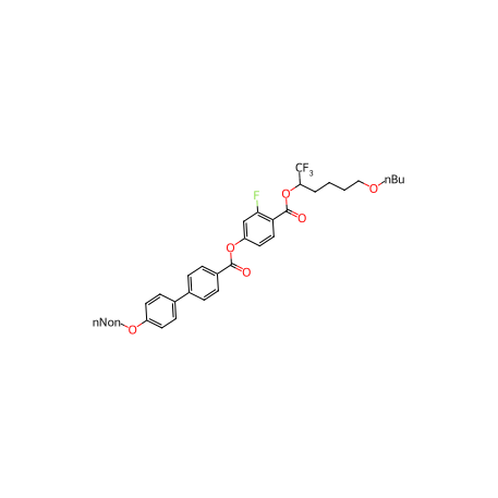 CCCCCCCCCOc1ccc(-c2ccc(C(=O)Oc3ccc(C(=O)OC(CCCCOCCCC)C(F)(F)F)c(F)c3)cc2)cc1